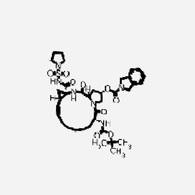 CC(C)(C)OC(=O)N[C@H]1CCCCC/C=C\[C@@H]2C[C@@]2(C(=O)NS(=O)(=O)N2CCCC2)NC(=O)[C@@H]2C[C@@H](OC(=O)N3Cc4ccccc4C3)CN2C1=O